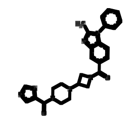 Cc1nc2cc(C(=O)N3CC(N4CCN(C(=O)c5cscn5)CC4)C3)ccc2n1-c1ccccc1